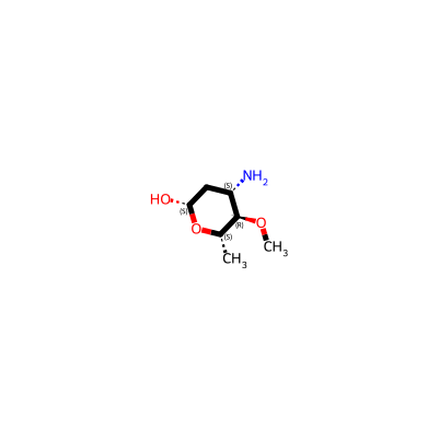 CO[C@H]1[C@H](C)O[C@H](O)C[C@@H]1N